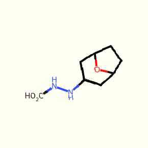 O=C(O)NNC1CC2CCC(C1)O2